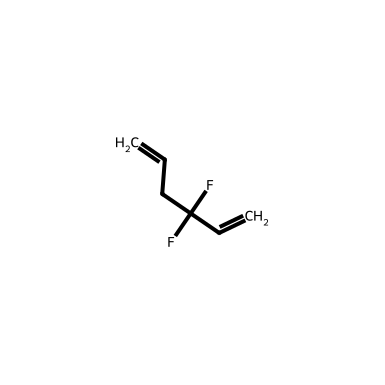 C=CCC(F)(F)C=C